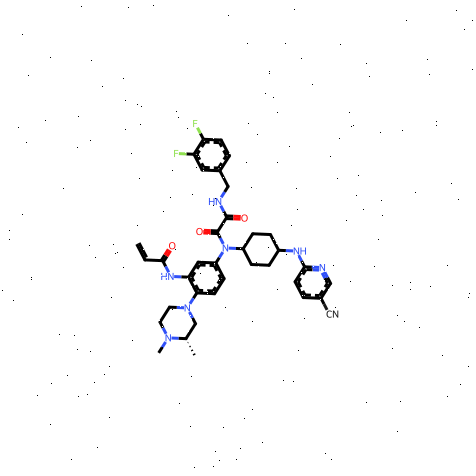 C=CC(=O)Nc1cc(N(C(=O)C(=O)NCc2ccc(F)c(F)c2)C2CCC(Nc3ccc(C#N)cn3)CC2)ccc1N1CCN(C)[C@@H](C)C1